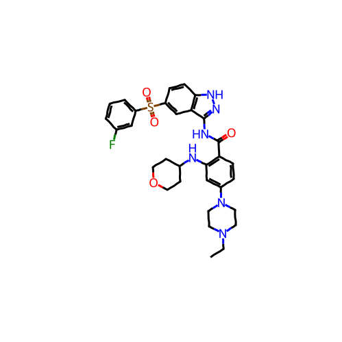 CCN1CCN(c2ccc(C(=O)Nc3n[nH]c4ccc(S(=O)(=O)c5cccc(F)c5)cc34)c(NC3CCOCC3)c2)CC1